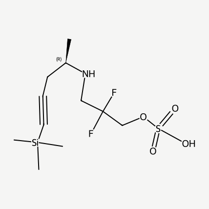 C[C@H](CC#C[Si](C)(C)C)NCC(F)(F)COS(=O)(=O)O